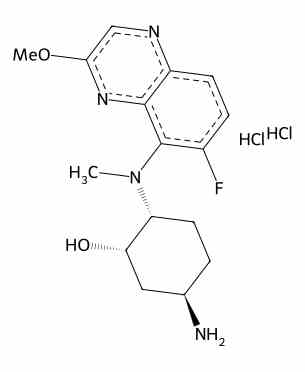 COc1cnc2ccc(F)c(N(C)[C@@H]3CC[C@@H](N)C[C@@H]3O)c2n1.Cl.Cl